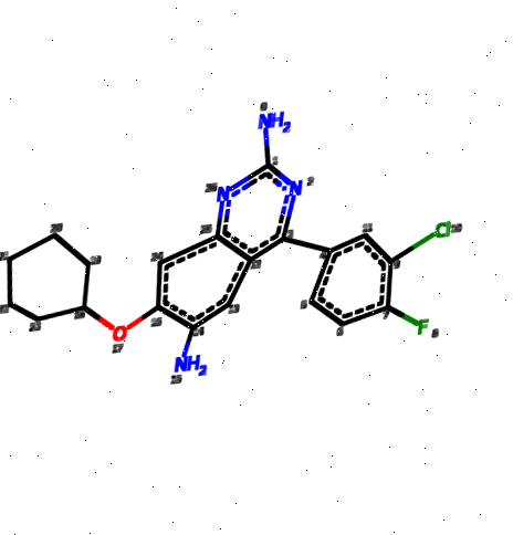 Nc1nc(-c2ccc(F)c(Cl)c2)c2cc(N)c(OC3CCCCC3)cc2n1